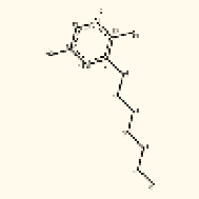 CCCCCCCc1nc(C)cnc1C